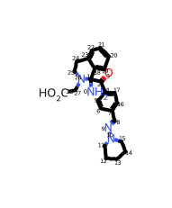 NC1(C(=O)c2ccc(C=NN3CCCCC3)cc2)c2ccccc2CCN1CC(=O)O